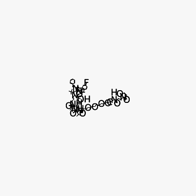 CC(C)[C@H](NC(=O)CCOCCOCCOCCOCCNC(=O)CCN1C(=O)C=CC1=O)C(=O)N[C@@H](C)C(=O)NCCCN(C(=O)CO)[C@@H](c1nc(-c2cc(F)ccc2F)cn1Cc1ccccc1)C(C)(C)C